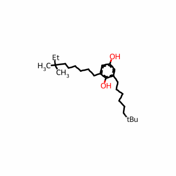 CCC(C)(C)CCCCCCc1cc(O)cc(CCCCCCC(C)(C)C)c1O